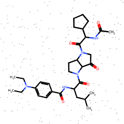 CCN(CC)c1ccc(C(=O)NC(CC(C)C)C(=O)N2CCC3C2C(=O)CN3C(=O)C(NC(C)=O)C2CCCC2)cc1